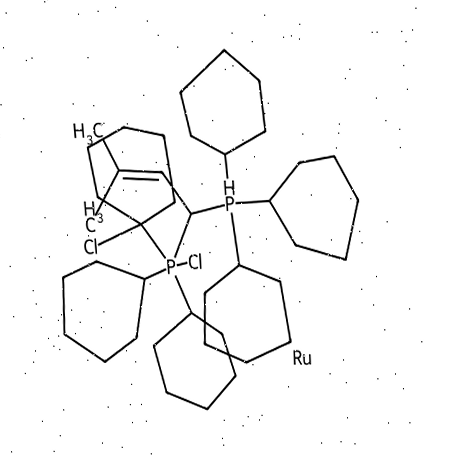 CC(C)=CC([PH](C1CCCCC1)(C1CCCCC1)C1CCCCC1)P(Cl)(C1CCCCC1)(C1CCCCC1)C1(Cl)CCCCC1.[Ru]